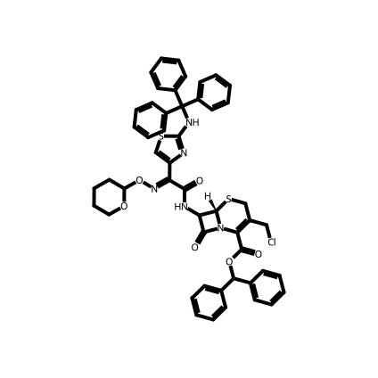 O=C(NC1C(=O)N2C(C(=O)OC(c3ccccc3)c3ccccc3)=C(CCl)CS[C@@H]12)C(=NOC1CCCCO1)c1csc(NC(c2ccccc2)(c2ccccc2)c2ccccc2)n1